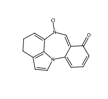 O=C1C=CC=C2C1=CN(Cl)C1=CCCc3ccn2c31